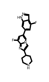 Fc1cc(-c2cc(F)c3nc(C4CCNCC4)cn3c2)cc2[nH]ncc12